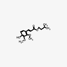 COc1c(O)ccc(C=CC(=O)OCCC(C)C)c1OC